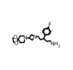 NCCC(CCN1CC(N2CCC3(CC2)OCCO3)C1)c1ccc(F)cc1